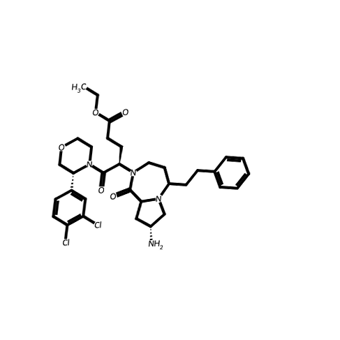 CCOC(=O)CC[C@H](C(=O)N1CCOC[C@H]1c1ccc(Cl)c(Cl)c1)N1CCC(CCc2ccccc2)N2C[C@H](N)CC2C1=O